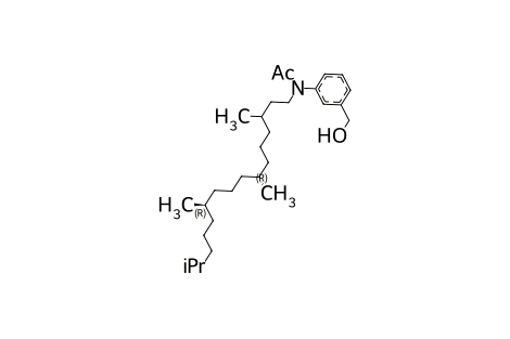 CC(=O)N(CCC(C)CCC[C@H](C)CCC[C@H](C)CCCC(C)C)c1cccc(CO)c1